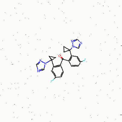 O=C(c1ccc(F)cc1C1(n2cncn2)CC1)c1ccc(F)cc1C1(n2cncn2)CC1